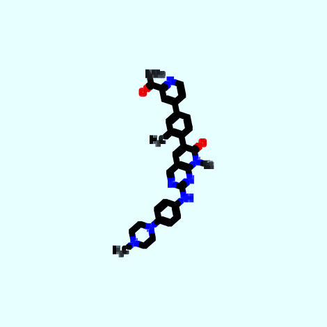 CCn1c(=O)c(-c2ccc(-c3ccnc(C(=O)NC)c3)cc2C)cc2cnc(Nc3ccc(N4CCN(C)CC4)cc3)nc21